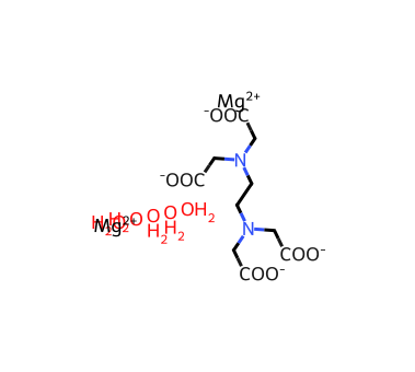 O.O.O.O.O.O=C([O-])CN(CCN(CC(=O)[O-])CC(=O)[O-])CC(=O)[O-].[Mg+2].[Mg+2]